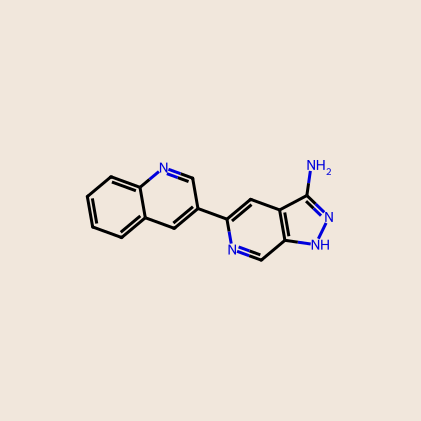 Nc1n[nH]c2cnc(-c3cnc4ccccc4c3)cc12